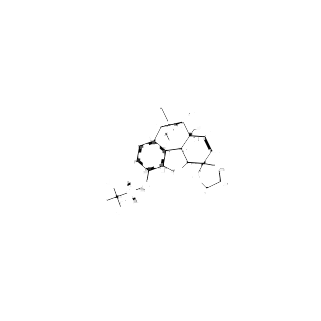 CN1CC[C@@]23c4c5ccc(OS(=O)(=O)C(F)(F)F)c4OC2C2(C=CC3(O)[C@@H]1C5)OCCO2